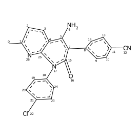 Cc1ccc2c(N)c(-c3ccc(C#N)cc3)c(=O)n(-c3ccc(Cl)cc3)c2n1